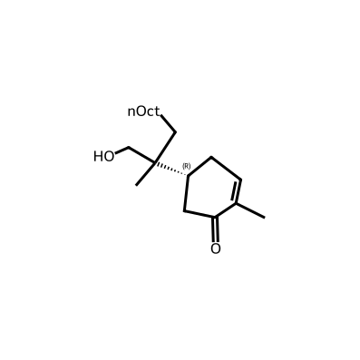 CCCCCCCCCC(C)(CO)[C@@H]1CC=C(C)C(=O)C1